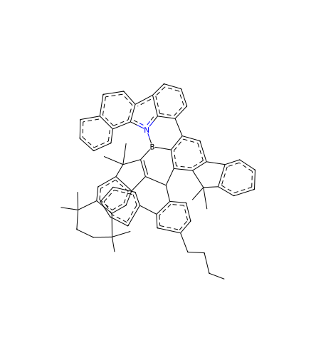 CCCCc1ccc(C2C3=C(B4c5c(cc6c(c52)C(C)(C)c2ccccc2-6)-c2cccc5c6ccc7ccccc7c6n4c25)C(C)(C)c2cc4c(cc23)C(C)(C)CCC4(C)C)c(-c2ccccc2)c1